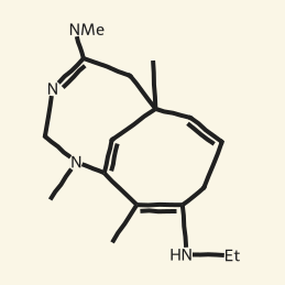 CCN/C1=C(\C)C2=CC(C)(/C=C\C1)C/C(NC)=N\CN2C